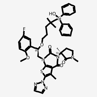 COc1ccc(F)cc1[C@H](Cn1c(=O)n([C@@]2(C)CCN(C)C2=O)c(=O)c2c(C)c(-n3nccn3)sc21)OCCCC(C)(C)[Si](O)(c1ccccc1)c1ccccc1